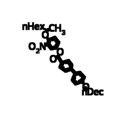 CCCCCCCCCCOc1ccc(-c2ccc(C(=O)Oc3ccc(O[C@@H](C)CCCCCC)c([N+](=O)[O-])c3)cc2)cc1